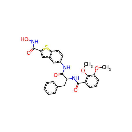 COc1cccc(C(=O)NC(Cc2ccccc2)C(=O)Nc2ccc3sc(C(=O)NO)cc3c2)c1OC